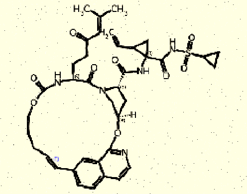 C=CC1C[C@]1(NC(=O)[C@@H]1C[C@@H]2CN1C(=O)[C@H](CCC(=O)C=C(C)C)NC(=O)OCCC/C=C/c1ccc3ccnc(c3c1)O2)C(=O)NS(=O)(=O)C1CC1